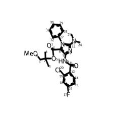 COCC(C)(C)OC(=O)c1c(NC(=O)c2ccc(F)cc2Cl)nc(N(C)C)n1-c1ccccc1